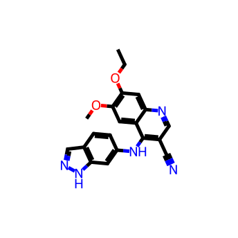 CCOc1cc2ncc(C#N)c(Nc3ccc4cn[nH]c4c3)c2cc1OC